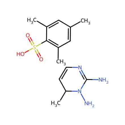 CC1C=CN=C(N)N1N.Cc1cc(C)c(S(=O)(=O)O)c(C)c1